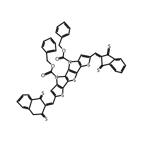 O=C(OCc1ccccc1)n1c2cc(C=C3C(=S)c4ccccc4C3=S)sc2c2sc3c4sc(/C=C5/C(=S)Cc6ccccc6C5=S)cc4n(C(=O)OCc4ccccc4)c3c21